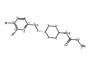 CC(C)(C)OC(=O)N[C@H]1CC[C@H](CNc2ccc(Br)c(F)n2)CC1